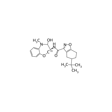 CN1c2ccccc2OC[C@H](NC(=O)c2noc3c2CC(C(C)(C)C)CC3)C1O